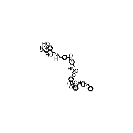 O=C(COc1cccc([C@@](O)(C(=O)O)c2ccccc2CC2CCN(Cc3ccccc3)CC2)c1)NCC1CCN(C(=O)c2ccc(CCNC[C@H](O)c3ccc(O)c4[nH]c(=O)ccc34)cc2)CC1